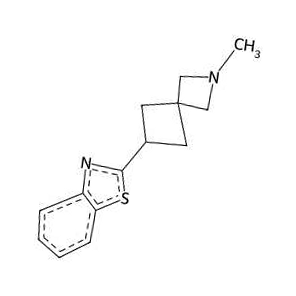 CN1CC2(CC(c3nc4ccccc4s3)C2)C1